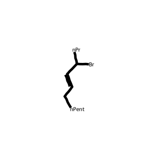 CCCCCCC=CC(Br)CCC